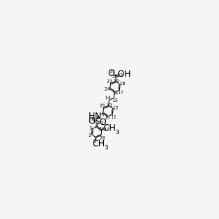 Cc1ccc(S(=O)(=O)Nc2cccc(CCc3ccc(C(=O)O)cc3)c2)c(C)c1